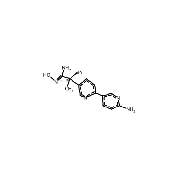 CC(C)[C@@](C)(/C(N)=N/O)c1ccc(-c2ccc(N)nc2)nc1